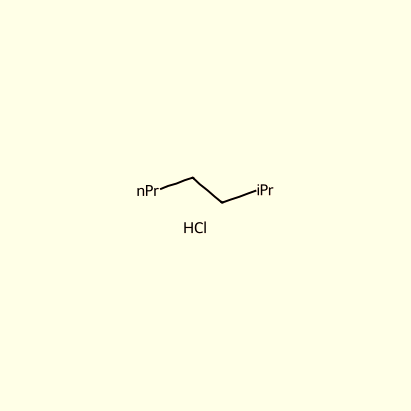 CCCCCC(C)C.Cl